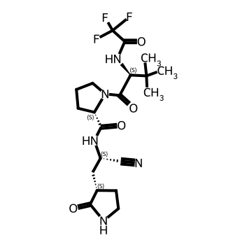 CC(C)(C)[C@H](NC(=O)C(F)(F)F)C(=O)N1CCC[C@H]1C(=O)N[C@H](C#N)C[C@@H]1CCNC1=O